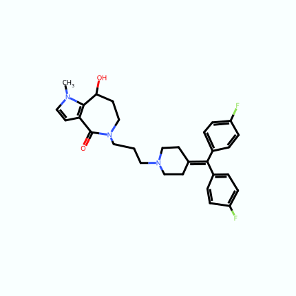 Cn1ccc2c1C(O)CCN(CCCN1CCC(=C(c3ccc(F)cc3)c3ccc(F)cc3)CC1)C2=O